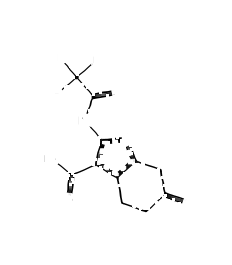 O=C1CCc2c(sc(NC(=O)C(F)(F)F)c2C(=O)O)C1